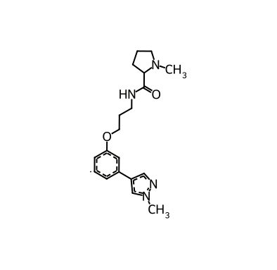 CN1CCCC1C(=O)NCCCOc1c[c]cc(-c2cnn(C)c2)c1